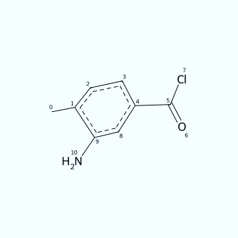 Cc1ccc(C(=O)Cl)cc1N